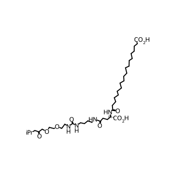 CC(C)CC(=O)COCCOCCNC(=O)NCCCCNC(=O)CC[C@H](NC(=O)CCCCCCCCCCCCCCCCCCC(=O)O)C(=O)O